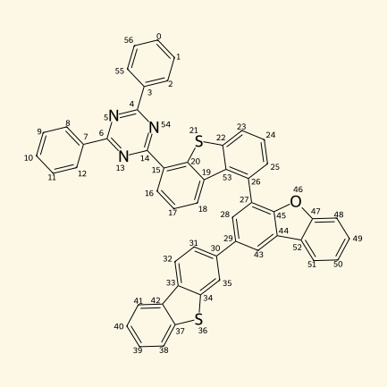 c1ccc(-c2nc(-c3ccccc3)nc(-c3cccc4c3sc3cccc(-c5cc(-c6ccc7c(c6)sc6ccccc67)cc6c5oc5ccccc56)c34)n2)cc1